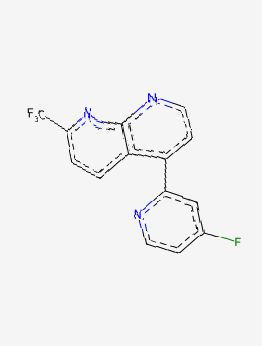 Fc1ccnc(-c2ccnc3nc(C(F)(F)F)ccc23)c1